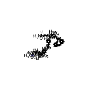 CNC(C(=O)N[C@H](C(=O)N(C)[C@H](/C=C(\C)C(=O)O)C(C)C)C(C)(C)C)C(C)(C)c1ccc(CNC(=O)OCc2ccc(NC(=O)[C@H](CCCCNC(N)=O)NC(=O)[C@@H](NC(=O)CCC(=O)N3Cc4ccccc4C#Cc4ccccc43)C(C)C)cc2)cc1